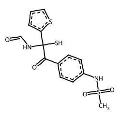 CS(=O)(=O)Nc1ccc(C(=O)C(S)(NC=O)c2cccs2)cc1